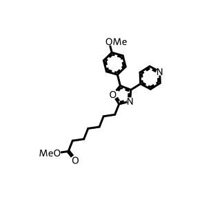 COC(=O)CCCCCCc1nc(-c2ccncc2)c(-c2ccc(OC)cc2)o1